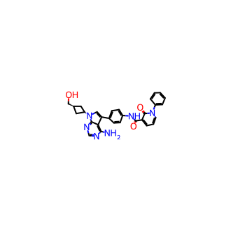 Nc1ncnc2c1c(-c1ccc(NC(=O)c3cccn(-c4ccccc4)c3=O)cc1)cn2[C@H]1C[C@H](CO)C1